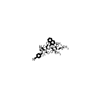 CC[C@H](C)[C@@H](CN(CC(=O)N(C)[C@@H](CCSC)C(=O)OC)Cc1cccc2ccccc12)N(C(C)=O)c1cncn1Cc1ccc(C#N)cc1